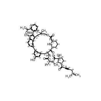 CCn1c(-c2cccnc2[C@H](C)OC)c2c3cc(ccc31)-c1cc(O)cc(c1)C[C@H](NC(=O)[C@H](C(C)C)N(C)C(=O)[C@@]1(O)CCN(C(=O)C#CCN(C)C)C1)C(=O)N1CCC[C@H](N1)C(=O)OCC(C)(C)C2